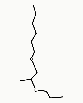 C[CH]COC(C)COCCCCCC